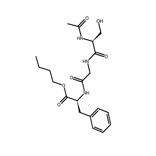 CCCCOC(=O)[C@H](Cc1ccccc1)NC(=O)CNC(=O)[C@H](CO)NC(C)=O